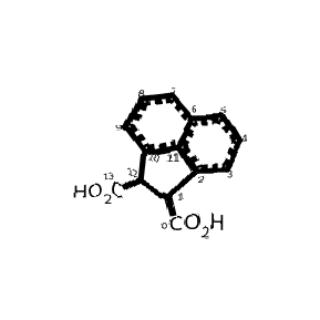 O=C(O)C1c2cccc3cccc(c23)C1C(=O)O